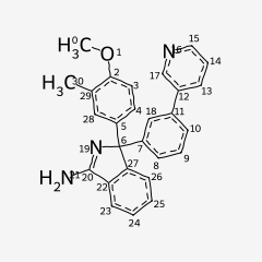 COc1ccc(C2(c3cccc(-c4cccnc4)c3)N=C(N)c3ccccc32)cc1C